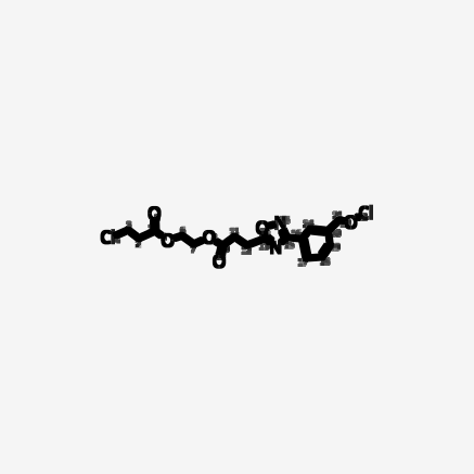 O=C(CCCl)OCCOC(=O)CCc1nc(-c2cccc(COCl)c2)no1